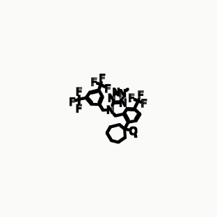 COC1(c2ccc(C(F)(F)F)cc2CN(Cc2cc(C(F)(F)F)cc(C(F)(F)F)c2)c2nnn(C)n2)CCCCCC1